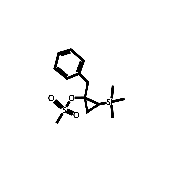 C[Si](C)(C)C1CC1(Cc1ccccc1)OS(C)(=O)=O